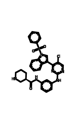 O=C(Nc1cccc(Nc2ncc(Cl)c(-c3cn(S(=O)(=O)c4ccccc4)c4ccccc34)n2)c1)[C@@H]1CCCNC1